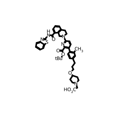 Cc1cc(CCCOC2CCN(CC(=O)O)CC2)ccc1-c1ccc(N2CCc3cccc(C(=O)Nc4nc5ccccc5s4)c3C2)nc1C(=O)OC(C)(C)C